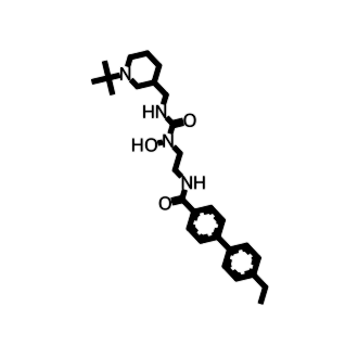 CCc1ccc(-c2ccc(C(=O)NCCN(O)C(=O)NCC3CCCN(C(C)(C)C)C3)cc2)cc1